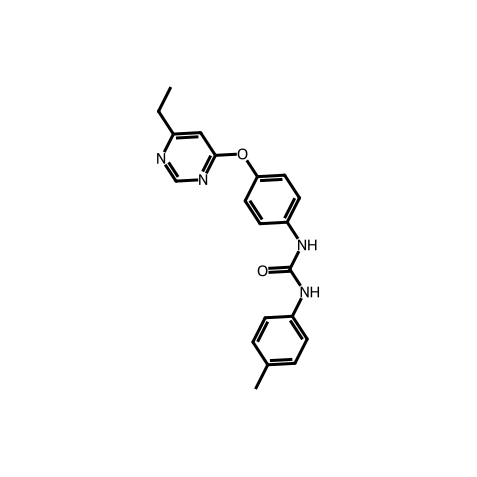 CCc1cc(Oc2ccc(NC(=O)Nc3ccc(C)cc3)cc2)ncn1